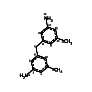 Cc1cc(N)cc(Cc2cc(C)cc(N)c2)c1